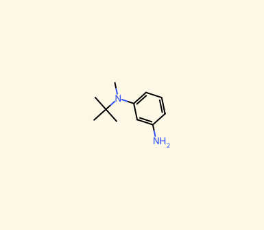 CN(c1cccc(N)c1)C(C)(C)C